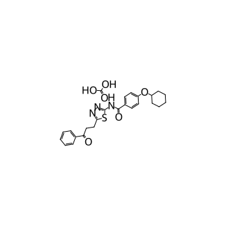 O=C(CCc1nnc(NC(=O)c2ccc(OC3CCCCC3)cc2)s1)c1ccccc1.O=C(O)O